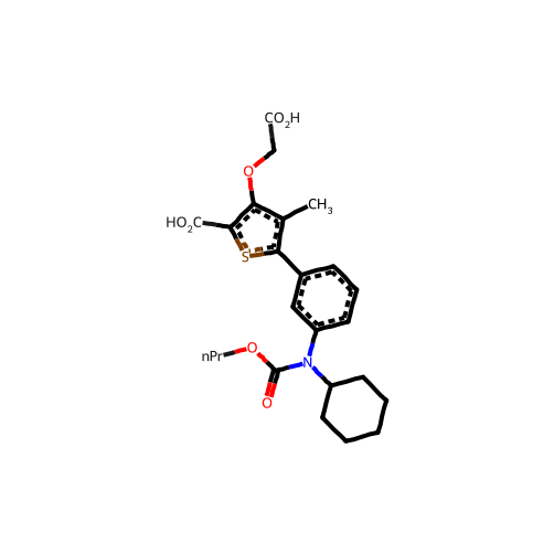 CCCOC(=O)N(c1cccc(-c2sc(C(=O)O)c(OCC(=O)O)c2C)c1)C1CCCCC1